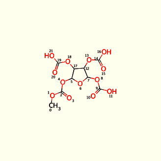 COC(=O)OC1OC(OC(=O)O)C(OC(=O)O)C1OC(=O)O